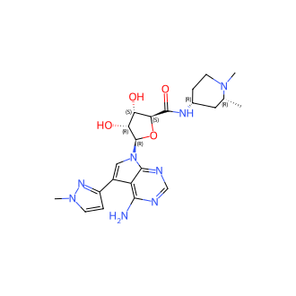 C[C@@H]1C[C@H](NC(=O)[C@H]2O[C@@H](n3cc(-c4ccn(C)n4)c4c(N)ncnc43)[C@H](O)[C@@H]2O)CCN1C